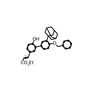 CCOC(=O)/C=C/c1ccc(O)c(-c2ccc(OCc3ccccc3)c(C34CC5CC(CC(C5)C3)C4)c2)c1